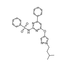 CC(C)CCn1cc(Oc2cc(-c3ccccc3)nc(NS(=O)(=O)c3ccccc3)n2)cn1